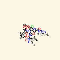 C=C[C@@H]1CC1(NC(=O)[C@@H]1CC(Oc2cc(-c3coc(NC(C)C)n3)nc3c(Cl)c(O)ccc23)CN1C(=O)[C@@H](NC(=O)O[C@@H]1C[C@@H]2C[C@@H]2C1)C(C)(C)C)C(=O)OC